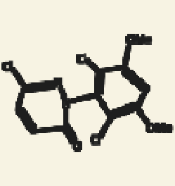 COc1cc(OC)c(Cl)c(-n2nc(Cl)ccc2=O)c1Cl